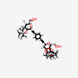 CC(C)[Si](O[C@@H]1[C@H](C)[C@@H](C#Cc2ccc(C#C[C@H]3O[C@H](CO)[C@@H](C)[C@H](C)[C@@H]3O[Si](C(C)C)(C(C)C)C(C)C)cc2)O[C@H](CO)[C@H]1O[Si](C(C)C)(C(C)C)C(C)C)(C(C)C)C(C)C